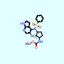 CC(C)(C)OC(=O)NC1CCC(N(c2c([N+](=O)[O-])cnc3[nH]ccc23)S(=O)(=O)c2ccccc2)C1